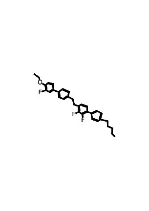 CCCCCc1ccc(-c2ccc(CCc3ccc(-c4ccc(OCC)c(F)c4)cc3)c(F)c2F)cc1